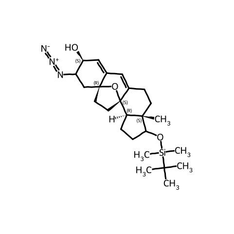 CC(C)(C)[Si](C)(C)OC1CC[C@H]2[C@@]34CC[C@]5(CC(N=[N+]=[N-])[C@@H](O)C=C5C=C3CC[C@]12C)O4